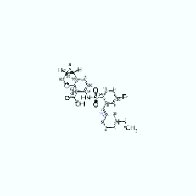 CCN1CCC/C(=C/c2cc(F)ccc2S(=O)(=O)Nc2ccc3c(c2C(=O)O)OC[C@@H]2C[C@H]32)C1